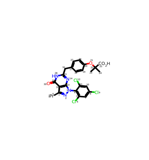 CC(C)c1nn(-c2c(Cl)cc(Cl)cc2Cl)c2nc(Cc3ccc(OC(C)(C)C(=O)O)cc3)[nH]c(=O)c12